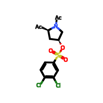 CC(=O)[C@@H]1C[C@@H](OS(=O)(=O)c2ccc(Cl)c(Cl)c2)CN1C(C)=O